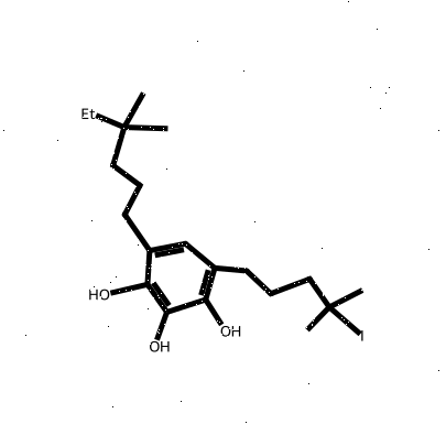 CCC(C)(C)CCCc1cc(CCCC(C)(C)I)c(O)c(O)c1O